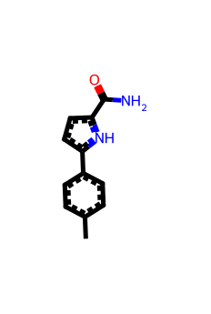 Cc1ccc(-c2ccc(C(N)=O)[nH]2)cc1